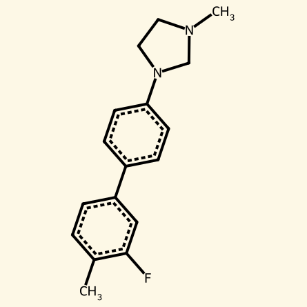 Cc1ccc(-c2ccc(N3CCN(C)C3)cc2)cc1F